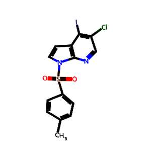 Cc1ccc(S(=O)(=O)n2ccc3c(I)c(Cl)cnc32)cc1